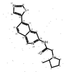 CC1CCCN1CC(=O)Nc1cc2cc(-c3cncs3)ccc2cn1